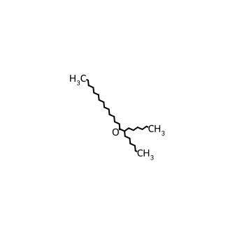 CCCCCCCCCCCCCCC(=O)C(CCCCCC)CCCCCC